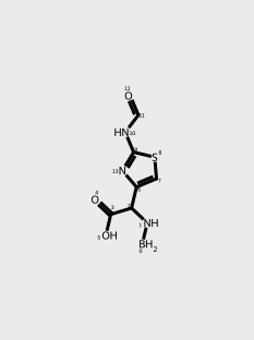 BNC(C(=O)O)c1csc(NC=O)n1